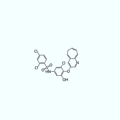 O=S(=O)(Nc1cc(O)c(Oc2cnc3c(c2)=CCC=CC=3)c(Cl)c1)c1ccc(Cl)cc1Cl